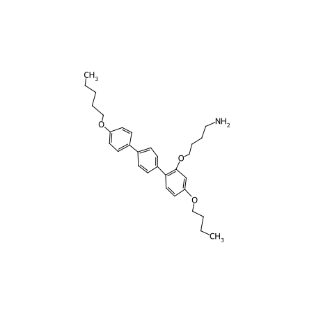 CCCCCOc1ccc(-c2ccc(-c3ccc(OCCCC)cc3OCCCCN)cc2)cc1